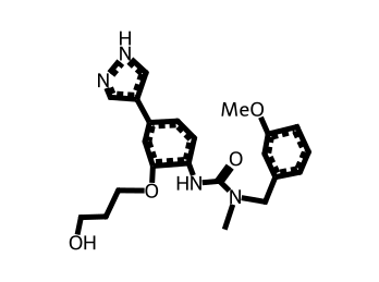 COc1cccc(CN(C)C(=O)Nc2ccc(-c3cn[nH]c3)cc2OCCCO)c1